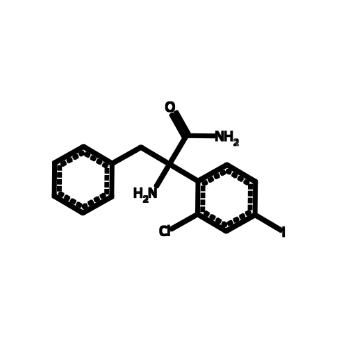 NC(=O)C(N)(Cc1ccccc1)c1ccc(I)cc1Cl